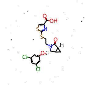 O=C(O)c1csc(SCCN2C(=O)[C@H]3CC3[C@@H]2COc2cc(Cl)cc(Cl)c2)n1